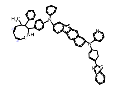 CC1/C=C\C=C/CNC(c2ccc(N(c3ccccc3)c3ccc4c(c3)sc3cc5cc(N(C6=CC=C(c7nc8ccccc8s7)CC6)c6cccnc6)ccc5cc34)cc2)C1c1ccccc1